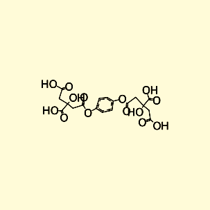 O=C(O)CC(O)(CC(=O)Oc1ccc(OC(=O)CC(O)(CC(=O)O)C(=O)O)cc1)C(=O)O